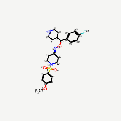 O=S(=O)(c1ccc(OC(F)(F)F)cc1)N1CCC(=NOC(c2ccc(F)cc2)C2CCNCC2)CC1